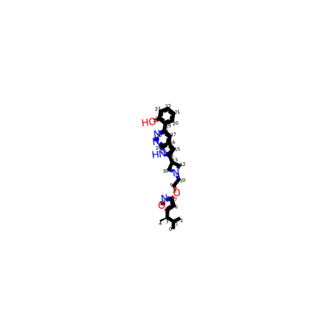 CC(C)[C@@H](C)c1cc(OCCN2CC(c3cc4cc(-c5ccccc5O)nnc4[nH]3)C2)no1